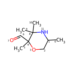 CC1COC(C)(C=O)C(C)(C)N1